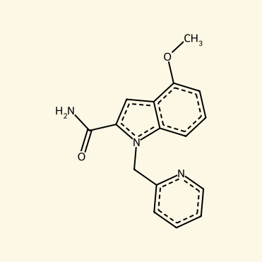 COc1cccc2c1cc(C(N)=O)n2Cc1ccccn1